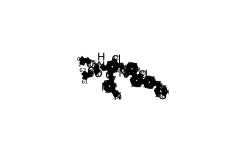 CC(C)COC[C@H](NCc1cc(Cl)c(Cn2ncc3c(-c4cccc(-c5ccc(CN6CCOCC6)cc5)c4Cl)cccc32)cc1OCc1cncc(C#N)c1)C(=O)OCC(C)C